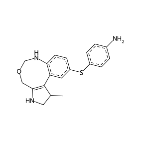 CC1CNC2=C1c1cc(Sc3ccc(N)cc3)ccc1NCOC2